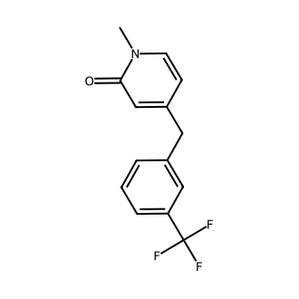 Cn1ccc(Cc2cccc(C(F)(F)F)c2)cc1=O